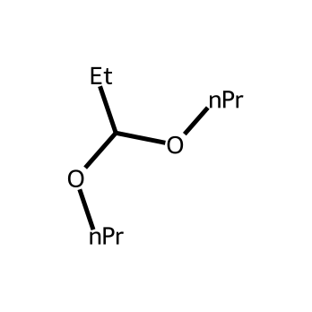 CCCOC(CC)OCCC